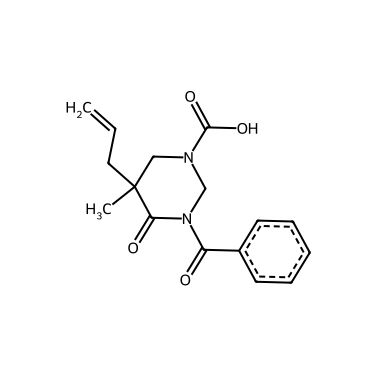 C=CCC1(C)CN(C(=O)O)CN(C(=O)c2ccccc2)C1=O